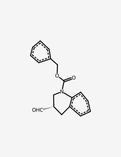 O=C[C@H]1Cc2ccccc2N(C(=O)OCc2ccccc2)C1